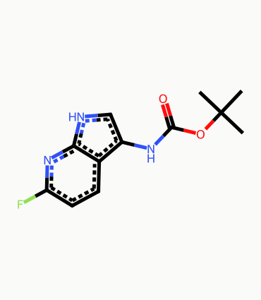 CC(C)(C)OC(=O)Nc1c[nH]c2nc(F)ccc12